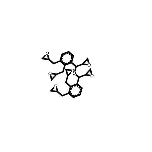 c1cc(CC2CO2)c(CC2CO2)c(C(OC(c2cccc(CC3CO3)c2CC2CO2)C2CO2)C2CO2)c1